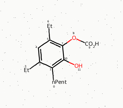 CCCCCc1c(CC)cc(CC)c(OC(=O)O)c1O